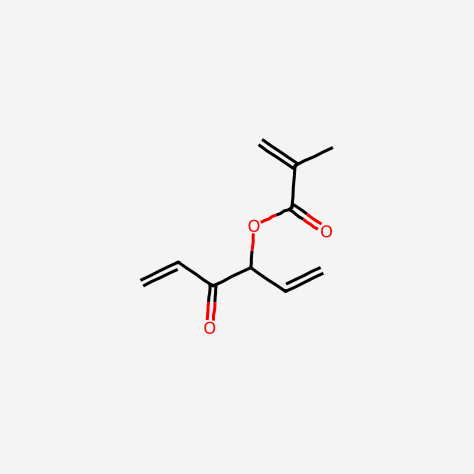 C=CC(=O)C(C=C)OC(=O)C(=C)C